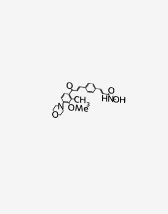 COc1c(N2CCOCC2)ccc(C(=O)C=Cc2ccc(C=CC(=O)NO)cc2)c1C